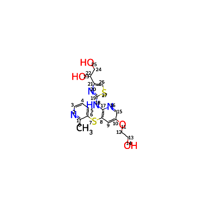 Cc1ncccc1Sc1cc(OCCO)cnc1Nc1nc(C(O)CO)cs1